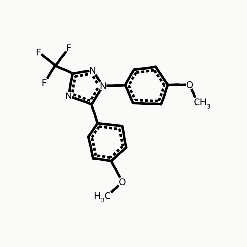 COc1ccc(-c2nc(C(F)(F)F)nn2-c2ccc(OC)cc2)cc1